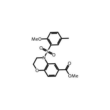 COC(=O)c1ccc2c(c1)N(S(=O)(=O)c1cc(C)ccc1OC)CCO2